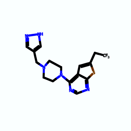 FC(F)(F)Cc1cc2c(N3CCN(Cc4cn[nH]c4)CC3)ncnc2s1